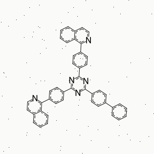 c1ccc(-c2ccc(-c3nc(-c4ccc(-c5nccc6ccccc56)cc4)nc(-c4ccc(-c5nccc6ccccc56)cc4)n3)cc2)cc1